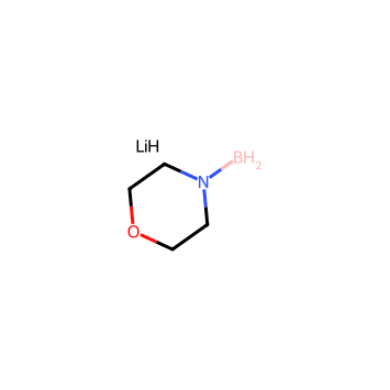 BN1CCOCC1.[LiH]